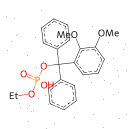 CCOP(=O)(O)OC(c1ccccc1)(c1ccccc1)c1cccc(OC)c1OC